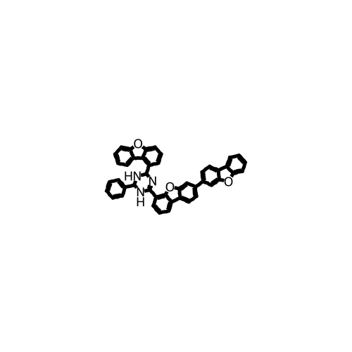 c1ccc(C2NC(c3cccc4c3oc3cc(-c5ccc6c(c5)oc5ccccc56)ccc34)=NC(c3cccc4oc5ccccc5c34)N2)cc1